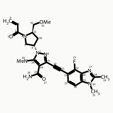 C=CC(=O)N1C[C@@H](n2nc(C#Cc3ccc4c(nc(C)n4C)c3F)c(C(N)=O)c2NC)C[C@@H]1COC